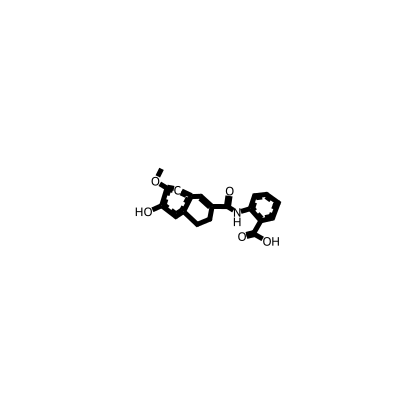 COc1cc2c(cc1O)CCC(C(=O)Nc1ccccc1C(=O)O)=C2